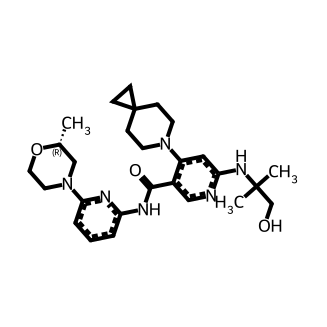 C[C@@H]1CN(c2cccc(NC(=O)c3cnc(NC(C)(C)CO)cc3N3CCC4(CC3)CC4)n2)CCO1